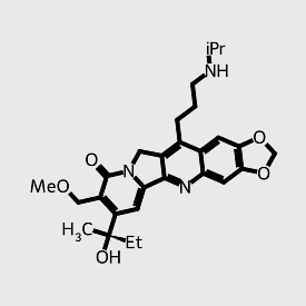 CC[C@](C)(O)c1cc2n(c(=O)c1COC)Cc1c-2nc2cc3c(cc2c1CCCNC(C)C)OCO3